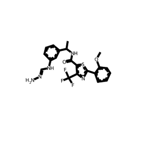 COc1ccccc1-c1nc(C(F)(F)F)c(C(=O)NC(C)c2cccc(NC=NN)c2)s1